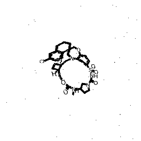 CN1C(=O)OC[C@@H]2CC[C@H]2CN2CC3(CCCc4cc(Cl)ccc43)COc3ccc(cc32)S(=O)(=O)NC(=O)N2CC[C@@H]1C2